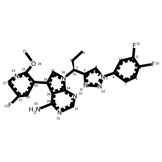 CC[C@@H](c1cn(-c2ccc(F)c(F)c2)nn1)n1cc(-c2cc(F)cnc2OC)c2c(N)ncnc21